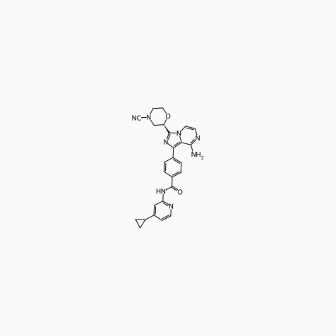 N#CN1CCO[C@@H](c2nc(-c3ccc(C(=O)Nc4cc(C5CC5)ccn4)cc3)c3c(N)nccn23)C1